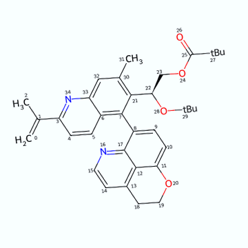 C=C(C)c1ccc2c(-c3ccc4c5c(ccnc35)CCO4)c([C@@H](COC(=O)C(C)(C)C)OC(C)(C)C)c(C)cc2n1